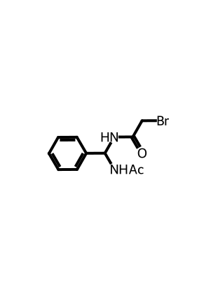 CC(=O)NC(NC(=O)CBr)c1ccccc1